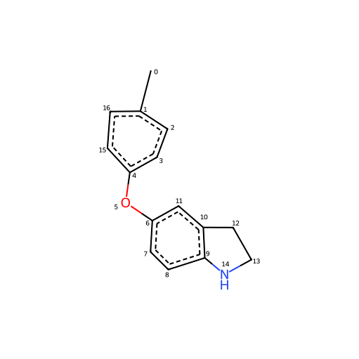 Cc1ccc(Oc2ccc3c(c2)CCN3)cc1